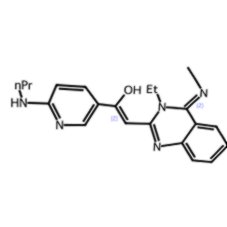 CCCNc1ccc(/C(O)=C/c2nc3ccccc3/c(=N/C)n2CC)cn1